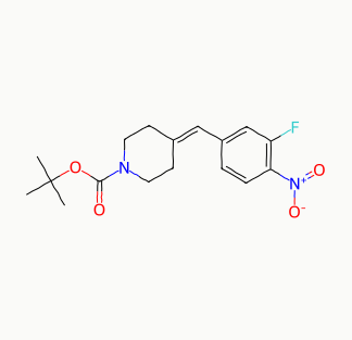 CC(C)(C)OC(=O)N1CCC(=Cc2ccc([N+](=O)[O-])c(F)c2)CC1